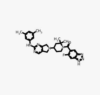 Cc1cc(C)cc(Nc2ncc3c(n2)CN(C2CCN(C(=O)c4cc5nn[nH]c5cc4F)C(C)(C)C2)C3)c1